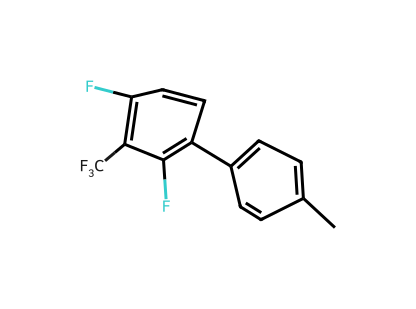 Cc1ccc(-c2ccc(F)c(C(F)(F)F)c2F)cc1